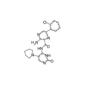 Nc1ncc(-c2ccccc2Cl)nc1C(=O)Nc1[nH]c(=O)ncc1N1CCCCC1